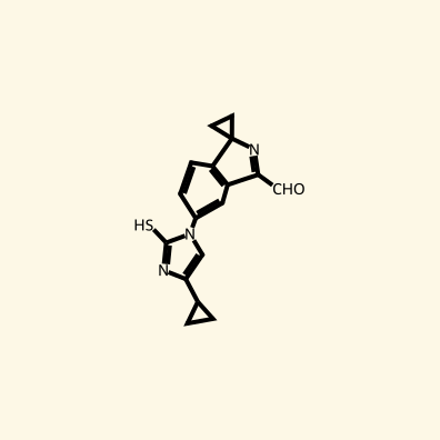 O=CC1=NC2(CC2)c2ccc(-n3cc(C4CC4)nc3S)cc21